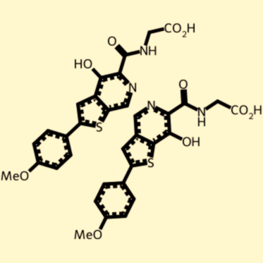 COc1ccc(-c2cc3c(O)c(C(=O)NCC(=O)O)ncc3s2)cc1.COc1ccc(-c2cc3cnc(C(=O)NCC(=O)O)c(O)c3s2)cc1